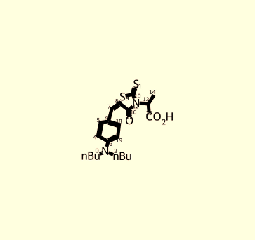 CCCCN(CCCC)c1ccc(C=C2SC(=S)N(C(C)C(=O)O)C2=O)cc1